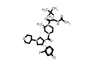 CC(=O)N[C@@H](CC(C)(C)C)C(=O)N1CCN(C(=O)[C@@H]2CN(C3CCOCC3)C[C@H]2c2ccc(Cl)cc2F)C[C@H]1C